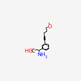 COCCCC#Cc1cccc(C(N)CCO)c1